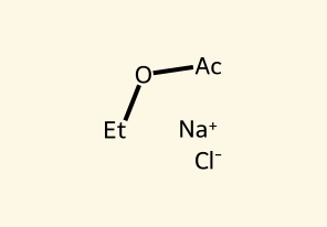 CCOC(C)=O.[Cl-].[Na+]